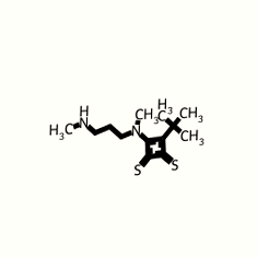 CNCCCN(C)c1c(C(C)(C)C)c(=S)c1=S